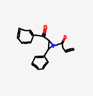 C=CC(=O)N1C(C(=O)c2ccccc2)C1c1ccccc1